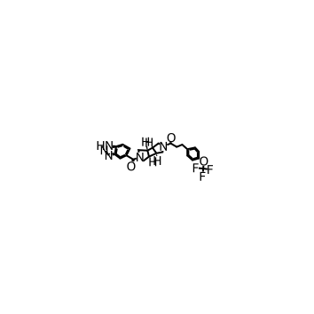 O=C(CCc1ccc(OC(F)(F)F)cc1)N1C[C@@H]2[C@H](C1)[C@H]1CN(C(=O)c3ccc4[nH]nnc4c3)C[C@@H]21